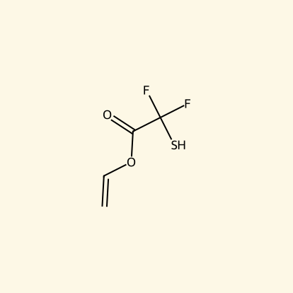 C=COC(=O)C(F)(F)S